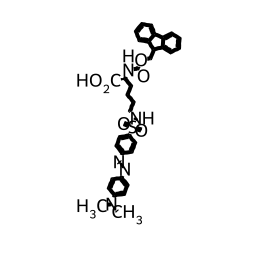 CN(C)c1ccc(/N=N/c2ccc(S(=O)(=O)NCCCC[C@H](NC(=O)OCC3c4ccccc4-c4ccccc43)C(=O)O)cc2)cc1